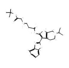 CC(C)N1CCc2c(sc(NC(=O)CCNCC(=O)OC(C)(C)C)c2-c2nc3ccccc3s2)C1